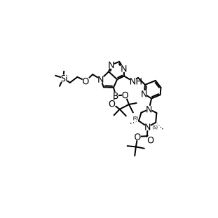 C[C@@H]1CN(c2cccc(CNc3ncnc4c3c(B3OC(C)(C)C(C)(C)O3)cn4COCC[Si](C)(C)C)n2)C[C@H](C)N1C(=O)OC(C)(C)C